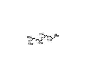 CC(C)(C)CC(COCC(COCC(COCC(COC(C)(C)C)C(C)(C)C)C(C)(C)C)C(C)(C)C)C(C)(C)C